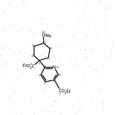 CCOC(=O)c1ccc(C2(C(=O)OCC)CCC(OC)CC2)nc1